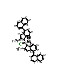 CCCC1=Cc2c(-c3cccc4ccccc34)cccc2[CH]1[Zr]([Cl])([CH]1C(CCC)=Cc2c(-c3cccc4ccccc34)cccc21)[SiH](C)C